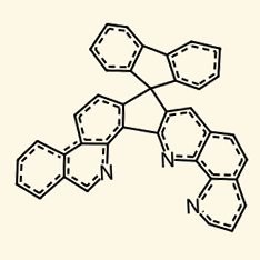 c1ccc2c(c1)-c1ccccc1C21c2cc3ccc4cccnc4c3nc2-c2c1ccc1c2ncc2ccccc21